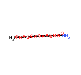 COCCOCCOCCOCCOCCOCCOCCOCCOCCOCCOCCOCCC(N)=O